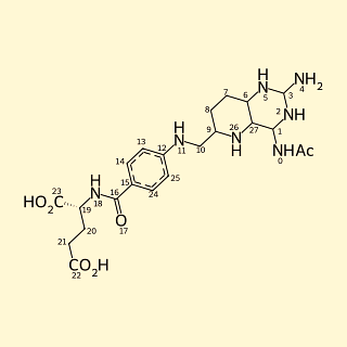 CC(=O)NC1NC(N)NC2CCC(CNc3ccc(C(=O)N[C@H](CCC(=O)O)C(=O)O)cc3)NC21